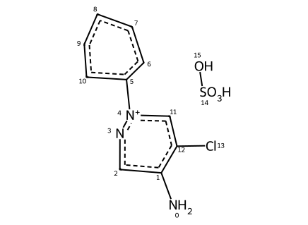 Nc1cn[n+](-c2ccccc2)cc1Cl.O=S(=O)(O)O